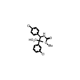 CC(C)(C)OC(=O)NC(c1ccc(Cl)cc1)C(C)(C(=O)O)c1cccc(Cl)c1